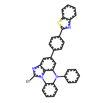 CCc1nc2cc(-c3ccc(-c4nc5ccccc5s4)cc3)cc3c2n1-c1ccccc1N3c1ccccc1